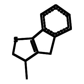 CC1CSC2=C1Cc1ccccc12